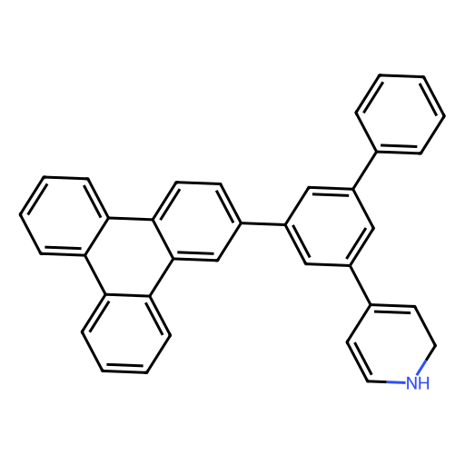 C1=CC(c2cc(-c3ccccc3)cc(-c3ccc4c5ccccc5c5ccccc5c4c3)c2)=CCN1